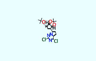 CC(C)(C)OC[C@H]1C=C(c2ccc3c(Cl)nc(Cl)nn23)[C@@H]2OC(C)(C)O[C@H]12